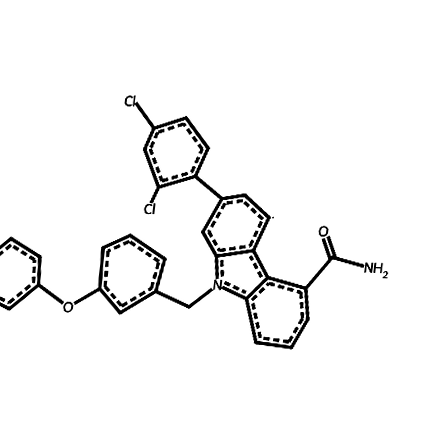 NC(=O)c1cccc2c1c1[c]cc(-c3ccc(Cl)cc3Cl)cc1n2Cc1cccc(Oc2ccccc2)c1